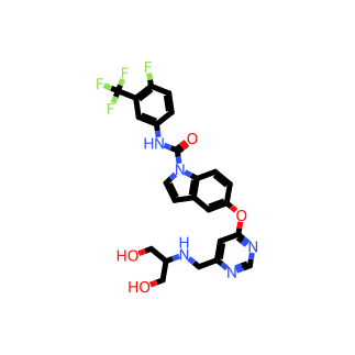 O=C(Nc1ccc(F)c(C(F)(F)F)c1)n1ccc2cc(Oc3cc(CNC(CO)CO)ncn3)ccc21